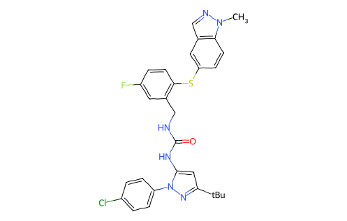 Cn1ncc2cc(Sc3ccc(F)cc3CNC(=O)Nc3cc(C(C)(C)C)nn3-c3ccc(Cl)cc3)ccc21